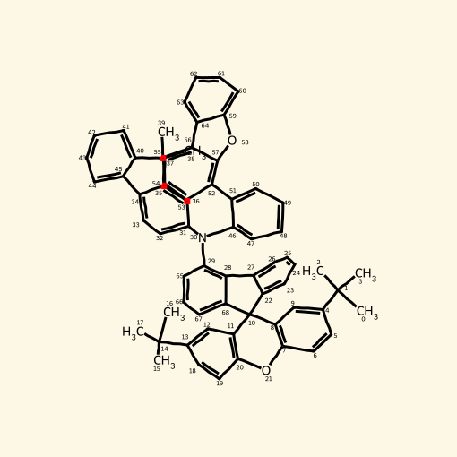 CC(C)(C)c1ccc2c(c1)C1(c3cc(C(C)(C)C)ccc3O2)c2ccccc2-c2c(N(c3ccc4c(c3)C(C)(C)c3ccccc3-4)c3ccccc3-c3cccc4c3oc3ccccc34)cccc21